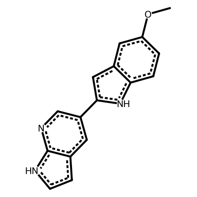 COc1ccc2[nH]c(-c3cnc4[nH]ccc4c3)cc2c1